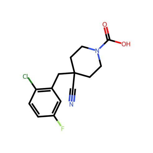 N#CC1(Cc2cc(F)ccc2Cl)CCN(C(=O)O)CC1